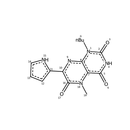 CCCCn1c(=O)[nH]c(=O)c2c1nc(-c1ccc[nH]1)c(=O)n2C